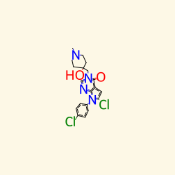 CN1CCC(O)(Cn2cnc3c(cc(Cl)n3-c3ccc(Cl)cc3)c2=O)CC1